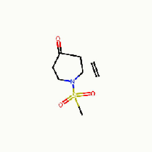 C=C.CS(=O)(=O)N1CCC(=O)CC1